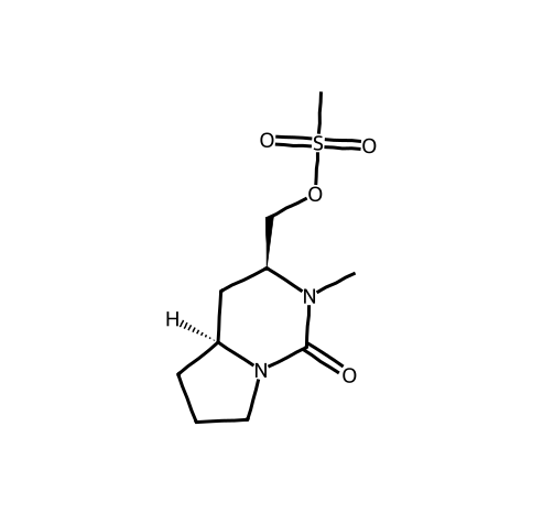 CN1C(=O)N2CCC[C@H]2C[C@H]1COS(C)(=O)=O